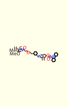 COC(CN(C)C(=O)CCOCCc1cccc(CN2CC3CC(OC(=O)Nc4ccccc4-c4ccccc4)C[C@@H]3C2)c1)OC